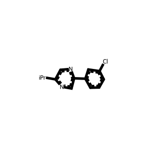 CC(C)c1cnc(-c2cccc(Cl)c2)cn1